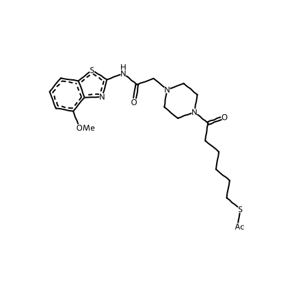 COc1cccc2sc(NC(=O)CN3CCN(C(=O)CCCCCSC(C)=O)CC3)nc12